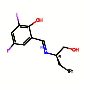 CC(C)C[C@H](CO)/N=C/c1cc(I)cc(I)c1O